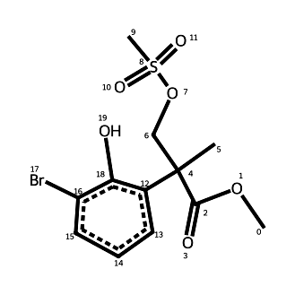 COC(=O)C(C)(COS(C)(=O)=O)c1cccc(Br)c1O